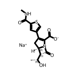 CNC(=O)c1cc(C2=C(C(=O)[O-])N3C(=O)[C@H]([C@@H](C)O)[C@H]3C2)cs1.[Na+]